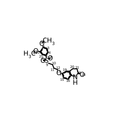 COc1ccc(S(=O)(=O)CCCCOc2ccc3c(c2)CCC(=O)N3)cc1OC